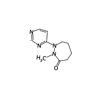 CN1C(=O)CCCCN1c1ccn[c]n1